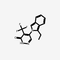 CCc1c2ccccc2cn1-c1cn[nH]c(=O)c1C(F)(F)F